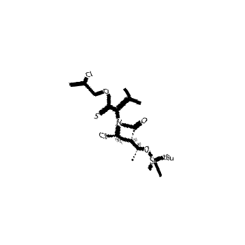 C=C(Cl)COC(=S)C(=C(C)C)N1C(=O)[C@H]([C@@H](C)O[Si](C)(C)C(C)(C)C)[C@H]1Cl